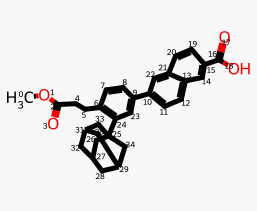 COC(=O)CCc1ccc(-c2ccc3cc(C(=O)O)ccc3c2)cc1C12CC3CC(CC(C3)C1)C2